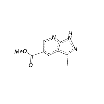 COC(=O)c1cnc2[nH]nc(C)c2c1